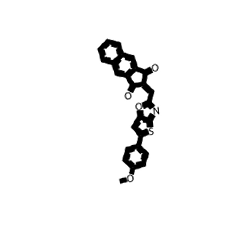 COc1ccc(-c2cc3oc(C=C4C(=O)c5cc6ccccc6cc5C4=O)nc3s2)cc1